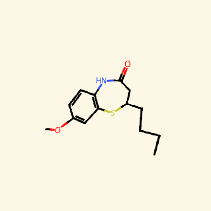 CCCCC1CC(=O)Nc2ccc(OC)cc2S1